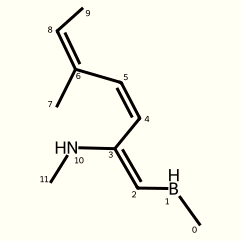 CB\C=C(/C=C\C(C)=C/C)NC